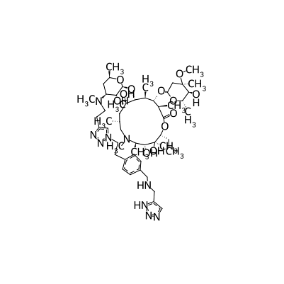 CC[C@H]1OC(=O)[C@H](C)[C@@H](O[C@H]2C[C@@](C)(OC)[C@@H](O)[C@H](C)O2)[C@H](C)[C@@H](O[C@@H]2O[C@H](C)C[C@H](N(C)CCc3cn(CCc4ccc(CNCc5cnn[nH]5)cc4)nn3)[C@H]2O)[C@](C)(O)C[C@@H](C)CN(C)[C@H](C)[C@@H](O)[C@]1(C)O